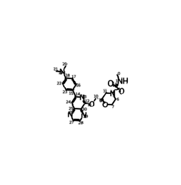 CNS(=O)(=O)N1CCO[C@H](COc2nc(-c3ccc(N(C)C)cc3)cc3nccnc23)C1